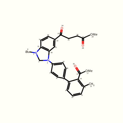 CCC(C)N1CN(c2ccc(-c3cccc(C)c3C(=O)OC)cc2)c2cc(C(=O)CCC(=O)OC)ccc21